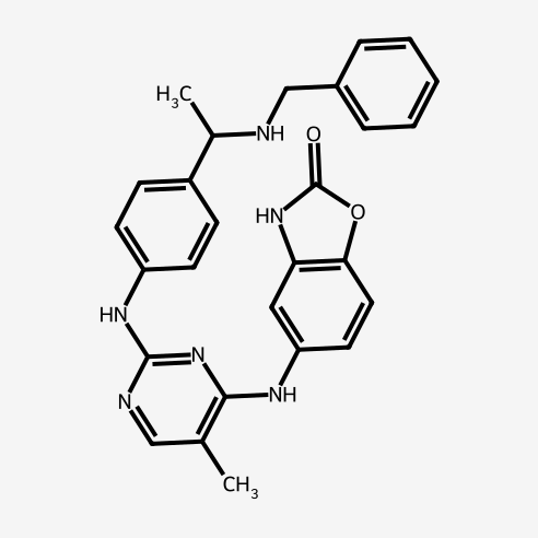 Cc1cnc(Nc2ccc(C(C)NCc3ccccc3)cc2)nc1Nc1ccc2oc(=O)[nH]c2c1